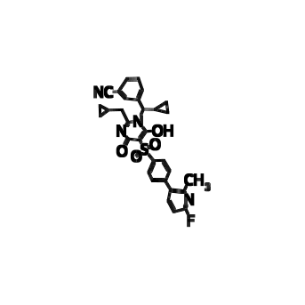 Cc1nc(F)ccc1-c1ccc(S(=O)(=O)c2c(O)n(C(c3cccc(C#N)c3)C3CC3)c(CC3CC3)nc2=O)cc1